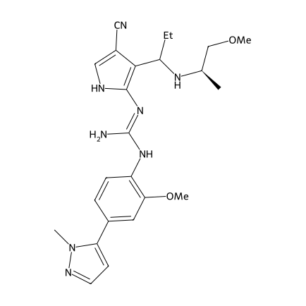 CCC(N[C@H](C)COC)c1c(C#N)c[nH]c1/N=C(\N)Nc1ccc(-c2ccnn2C)cc1OC